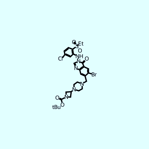 CCS(=O)(=O)c1ccc(Cl)cc1Nn1cnc2cc(CN3CCN(C4CN(C(=O)OC(C)(C)C)C4)CC3)c(Br)cc2c1=O